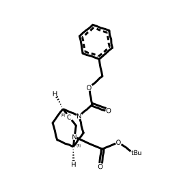 CC(C)(C)OC(=O)N1CC[C@H]2CC[C@@H]1CN2C(=O)OCc1ccccc1